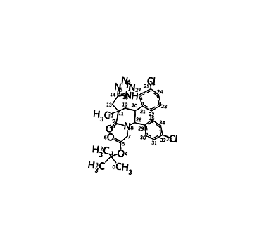 CC(C)(C)OC(=O)CN1C(=O)C(C)(Cc2nnn[nH]2)CC(c2cccc(Cl)c2)C1c1ccc(Cl)cc1